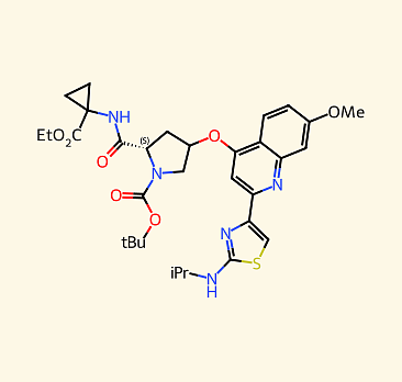 CCOC(=O)C1(NC(=O)[C@@H]2CC(Oc3cc(-c4csc(NC(C)C)n4)nc4cc(OC)ccc34)CN2C(=O)OC(C)(C)C)CC1